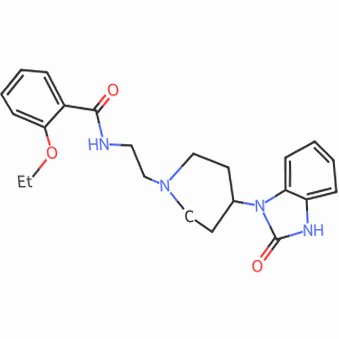 CCOc1ccccc1C(=O)NCCN1CCC(n2c(=O)[nH]c3ccccc32)CC1